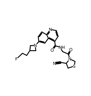 N#CC1CSCN1C(=O)CNC(=O)c1ccnc2ccc(N3CC(CCF)C3)cc12